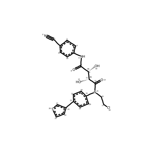 N#Cc1ccc(NC(=O)[C@H](O)[C@@H](O)C(=O)N(CCCl)c2ccc(-c3ccsc3)cc2)cc1